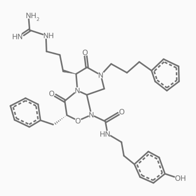 N=C(N)NCCC[C@H]1C(=O)N(CCCc2ccccc2)CC2N(C(=O)NCCc3ccc(O)cc3)O[C@H](Cc3ccccc3)C(=O)N21